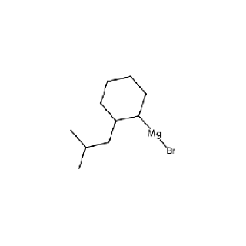 CC(C)CC1CCCC[CH]1[Mg][Br]